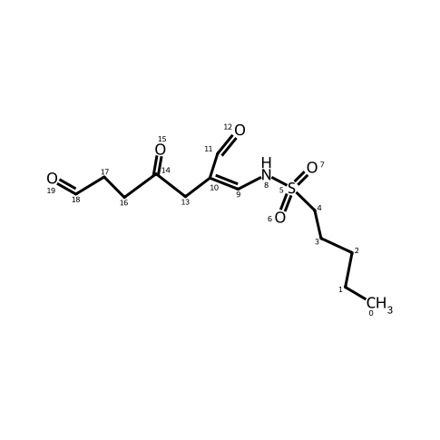 CCCCCS(=O)(=O)N/C=C(\C=O)CC(=O)CCC=O